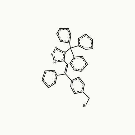 BrCc1ccc(/C(=C/c2nnnn2C(c2ccccc2)(c2ccccc2)c2ccccc2)c2ccccc2)cc1